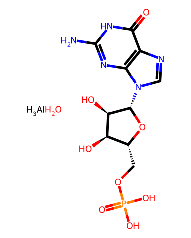 Nc1nc2c(ncn2[C@@H]2O[C@H](COP(=O)(O)O)[C@@H](O)[C@H]2O)c(=O)[nH]1.O.[AlH3]